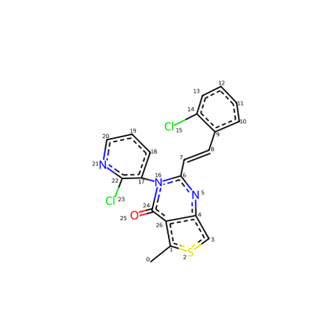 Cc1scc2nc(C=Cc3ccccc3Cl)n(-c3cccnc3Cl)c(=O)c12